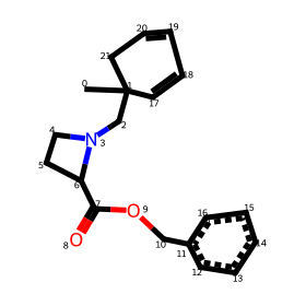 CC1(CN2CCC2C(=O)OCc2ccccc2)C=CC=CC1